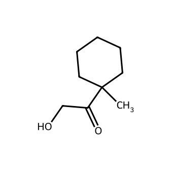 CC1(C(=O)CO)CCCCC1